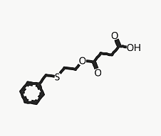 O=C(O)CCC(=O)OCCSCc1ccccc1